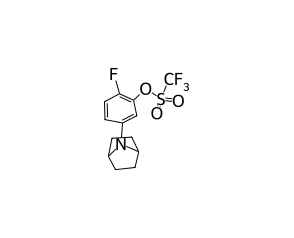 O=S(=O)(Oc1cc(N2C3CCC2CC3)ccc1F)C(F)(F)F